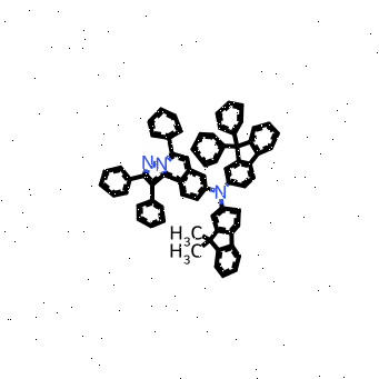 CC1(C)c2ccccc2-c2ccc(N(c3ccc4c(c3)C(c3ccccc3)(c3ccccc3)c3ccccc3-4)c3ccc4c(c3)cc(-c3ccccc3)n3nc(-c5ccccc5)c(-c5ccccc5)c43)cc21